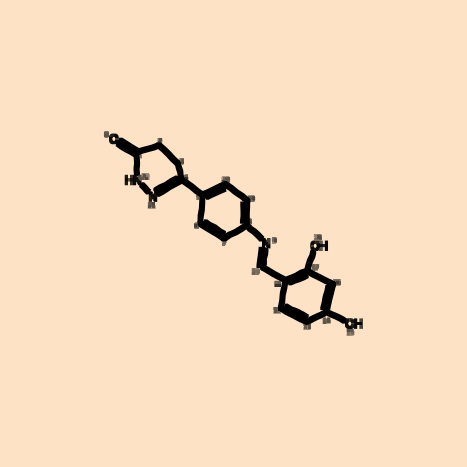 O=C1CCC(c2ccc(N=Cc3ccc(O)cc3O)cc2)=NN1